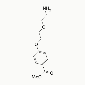 COC(=O)c1ccc(OCCOCCN)cc1